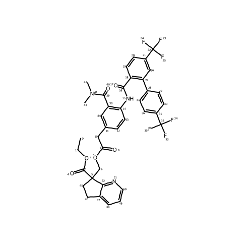 CCOC(=O)C1(COC(=O)Cc2ccc(NC(=O)c3ccc(C(F)(F)F)cc3-c3ccc(C(F)(F)F)cc3)c(C(=O)N(C)C)c2)CCc2cccnc21